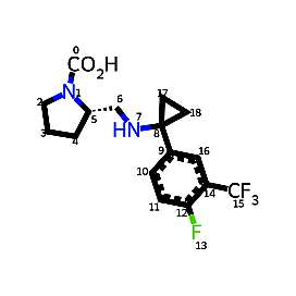 O=C(O)N1CCC[C@H]1CNC1(c2ccc(F)c(C(F)(F)F)c2)CC1